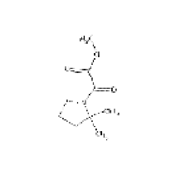 COC(=O)C(=O)N1CCCC1(C)C